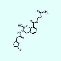 CC(=O)OCOC(=O)c1cccc2c1OB(O)[C@@H](NC(=O)Cc1cc(Br)cs1)C2